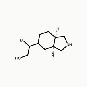 CCC(CO)C1CC[C@H]2CNC[C@H]2C1